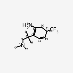 CN(C)CC(C)(C)C1=C(N)CC(C(F)(F)F)C=C1